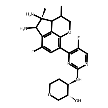 CC1COc2c(-c3nc(N[C@@H]4CCOC[C@H]4O)ncc3F)cc(F)c3c2C1[C@@](C)(N)C3N